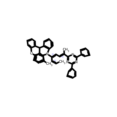 C\C=C/C(=C\C=C(/C)c1nc(-c2ccccc2)nc(-c2ccccc2)n1)N(c1c#cccc1C1c2ccccc2Oc2ccccc21)c1ccccc1C